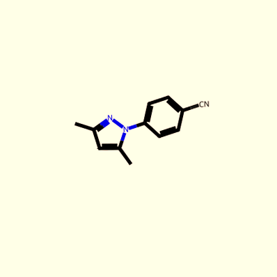 Cc1[c]c(C)n(-c2ccc(C#N)cc2)n1